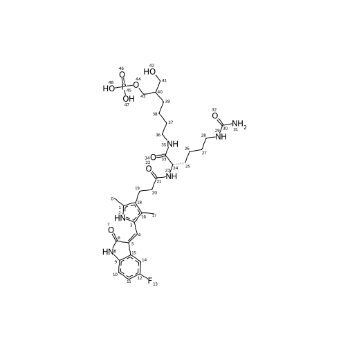 Cc1[nH]c(/C=C2\C(=O)Nc3ccc(F)cc32)c(C)c1CCC(=O)N[C@@H](CCCCNC(N)=O)C(=O)NCCCCC(CO)COP(=O)(O)O